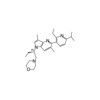 CCc1nc(C(C)C)ccc1-c1nc2c(C)cn([C@H](CC)CN3CCOCC3)c2cc1C